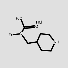 CCN(CC1CCNCC1)C(=O)C(F)(F)F.Cl